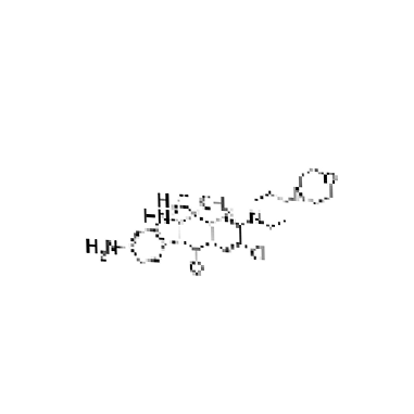 CC1(C)c2cc(N3CCC(N4CCOCC4)CC3)c(Cl)cc2C(=O)c2c1[nH]c1cc(N)ccc21